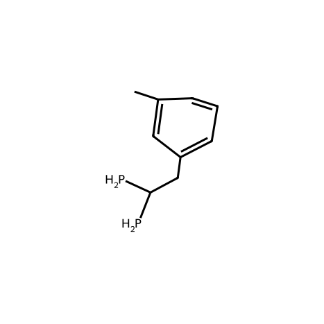 Cc1cccc(CC(P)P)c1